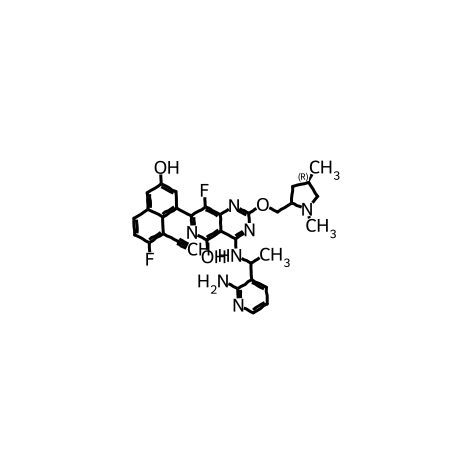 C#Cc1c(F)ccc2cc(O)cc(-c3nc(O)c4c(NC(C)c5cccnc5N)nc(OCC5C[C@@H](C)CN5C)nc4c3F)c12